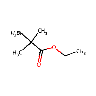 CCOC(=O)[C](C)(C)[BiH2]